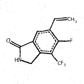 C=Cc1cc2c(c(C(F)(F)F)c1F)CNC2=O